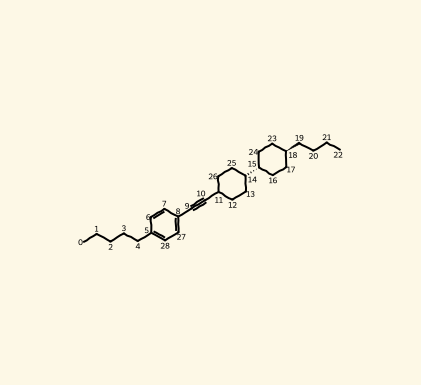 CCCCCc1ccc(C#CC2CCC([C@H]3CC[C@H](CCCC)CC3)CC2)cc1